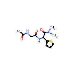 CC(=O)C(=O)NCC(=O)NC(C(=O)N(C)C)c1cccs1